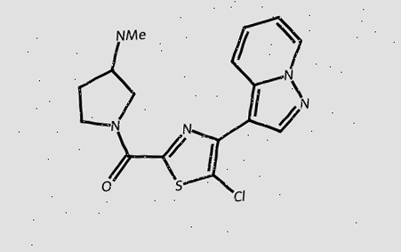 CNC1CCN(C(=O)c2nc(-c3cnn4ccccc34)c(Cl)s2)C1